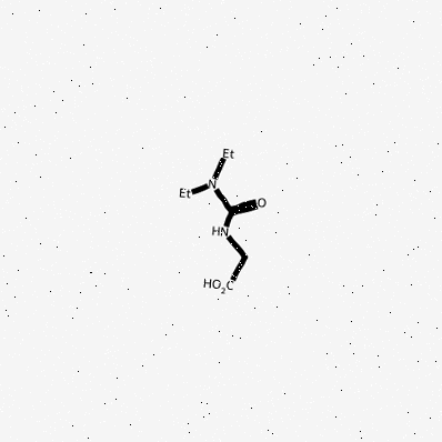 CCN(CC)C(=O)NCC(=O)O